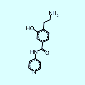 NCCc1ccc(C(=O)Nc2ccncc2)cc1O